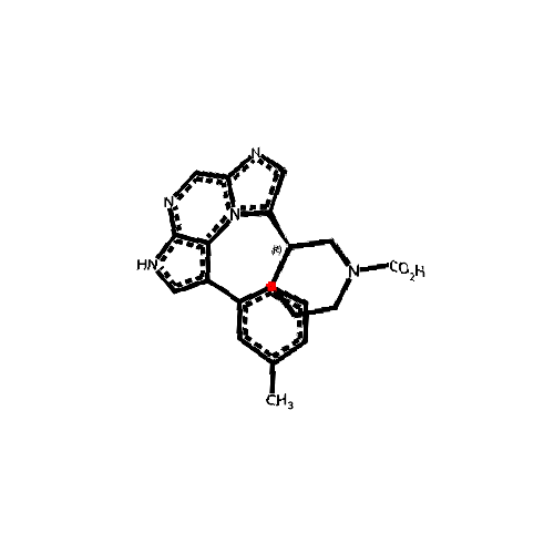 Cc1cccc(-c2c[nH]c3ncc4ncc([C@@H]5CCCN(C(=O)O)C5)n4c23)c1